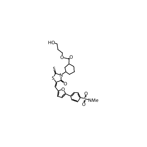 CNS(=O)(=O)c1ccc(-c2ccc(C=C3SC(=S)N(C4CCCC(C(=O)OCCCO)C4)C3=O)o2)cc1